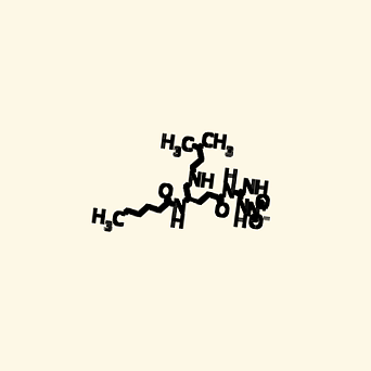 CCCCCC(=O)N[C@H](CCC(=O)NC(=N)N[N+](=O)[O-])CNCCC(C)C